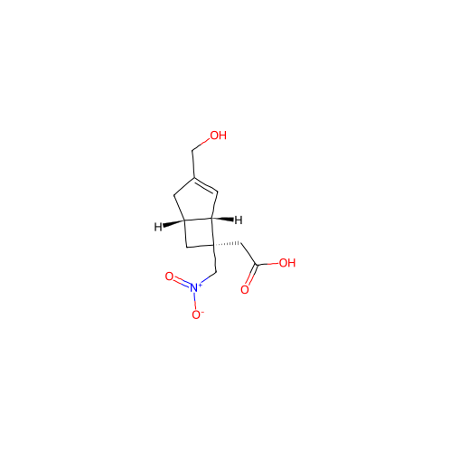 O=C(O)C[C@]1(C[N+](=O)[O-])C[C@@H]2CC(CO)=C[C@@H]21